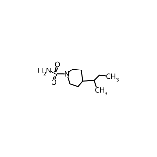 CCC(C)C1CCN(S(N)(=O)=O)CC1